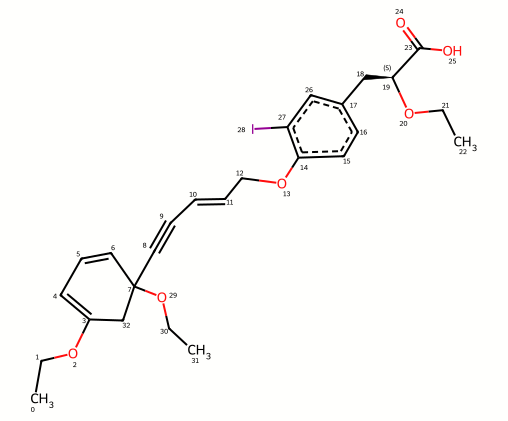 CCOC1=CC=CC(C#CC=CCOc2ccc(C[C@H](OCC)C(=O)O)cc2I)(OCC)C1